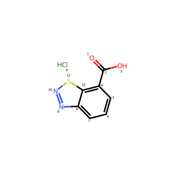 Cl.O=C(O)c1cccc2nnsc12